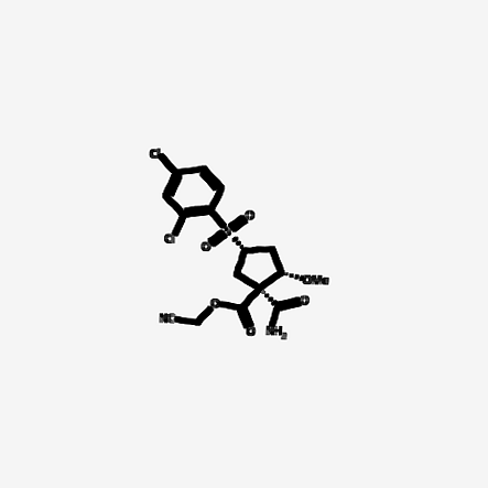 CO[C@H]1C[C@@H](S(=O)(=O)c2ccc(Cl)cc2Cl)C[C@]1(C(N)=O)C(=O)OCC#N